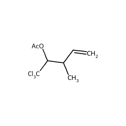 C=CC(C)C(OC(C)=O)C(Cl)(Cl)Cl